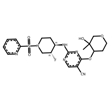 CC1(O)COCCC1Oc1nc(N[C@@H]2CCN(S(=O)(=O)c3ccccn3)C[C@H]2F)ncc1C#N